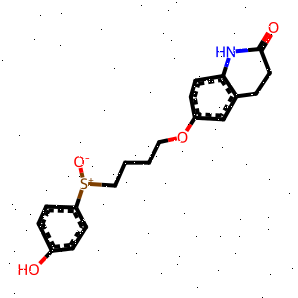 O=C1CCc2cc(OCCCC[S+]([O-])c3ccc(O)cc3)ccc2N1